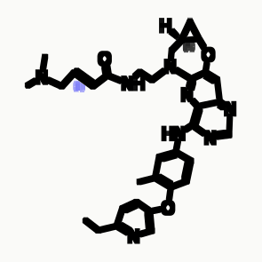 CCc1ccc(Oc2ccc(Nc3ncnc4cc5c(nc34)N(CCNC(=O)/C=C/CN(C)C)C[C@@H]3CC3O5)cc2C)cn1